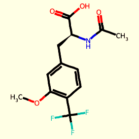 COc1cc(C[C@H](NC(C)=O)C(=O)O)ccc1C(F)(F)F